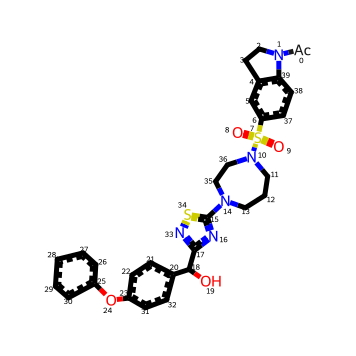 CC(=O)N1CCc2cc(S(=O)(=O)N3CCCN(c4nc(C(O)c5ccc(Oc6ccccc6)cc5)ns4)CC3)ccc21